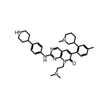 Cc1ccc(-c2cc3cnc(Nc4ccc(C5CCNCC5)cc4)nc3n(CCN(C)C)c2=O)c(C2CCCN(C)C2)c1